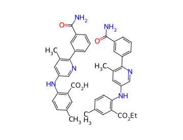 CCOC(=O)c1cc(C)ccc1Nc1cnc(-c2cccc(C(N)=O)c2)c(C)c1.Cc1ccc(Nc2cnc(-c3cccc(C(N)=O)c3)c(C)c2)c(C(=O)O)c1